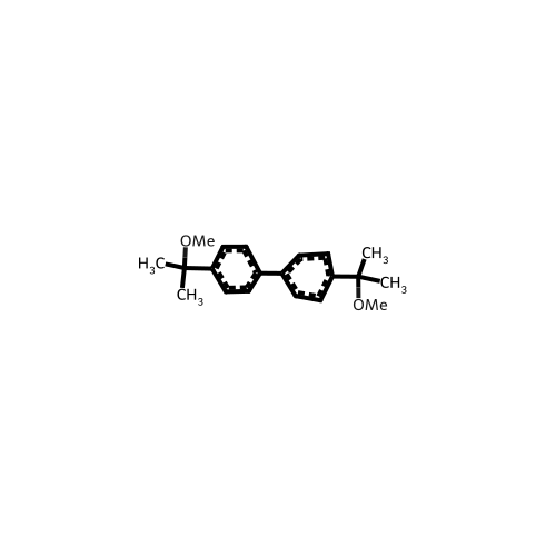 COC(C)(C)c1ccc(-c2ccc(C(C)(C)OC)cc2)cc1